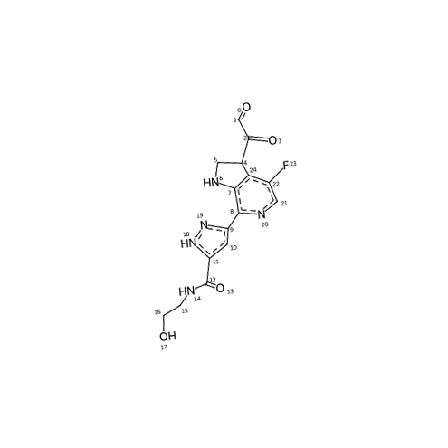 O=CC(=O)C1CNc2c(-c3cc(C(=O)NCCO)[nH]n3)ncc(F)c21